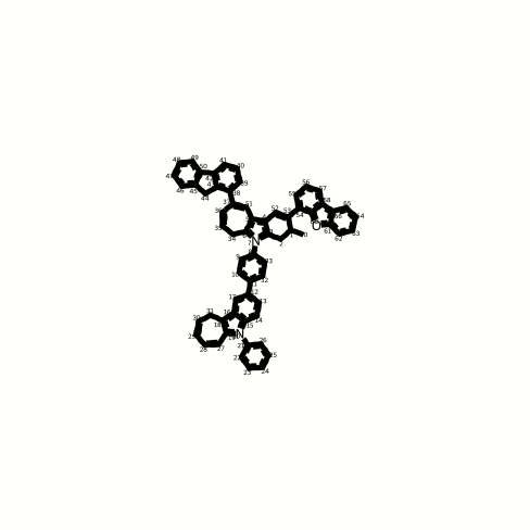 CC1Cc2c(c3c(n2-c2ccc(-c4ccc5c(c4)c4c(n5-c5ccccc5)C=CC=CC4)cc2)CC=CC(c2cccc4c2Cc2ccccc2-4)=C3)C=C1c1cccc2c1oc1ccccc12